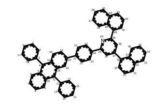 c1ccc(-c2c3ccccc3c(-c3ccccc3)c3cc(-c4ccc(-c5cc(-c6cccc7ccccc67)cc(-c6cccc7ccccc67)n5)cc4)ccc23)cc1